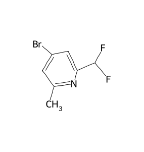 Cc1cc(Br)cc(C(F)F)n1